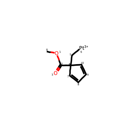 COC(=O)C1([CH2][Pt+3])C=CC=C1